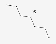 CCCCCCF.[S]